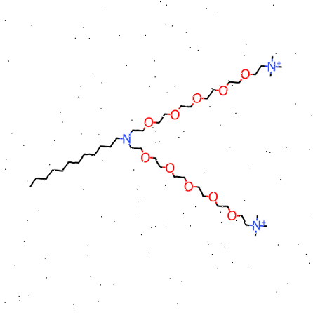 CCCCCCCCCCCCN(CCOCCOCCOCCOCCOCC[N+](C)(C)C)CCOCCOCCOCCOCCOCC[N+](C)(C)C